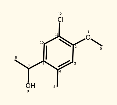 COc1cc(C)c(C(C)O)cc1Cl